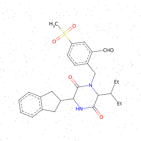 CCC(CC)C1C(=O)NC(C2Cc3ccccc3C2)C(=O)N1Cc1ccc(S(C)(=O)=O)cc1C=O